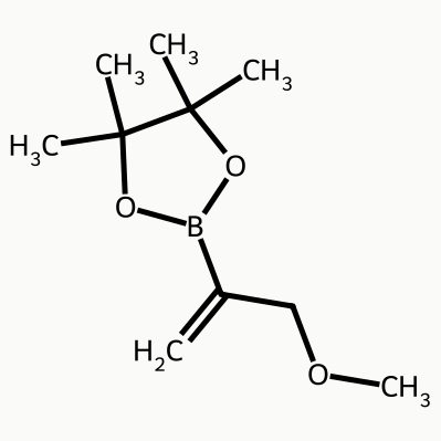 C=C(COC)B1OC(C)(C)C(C)(C)O1